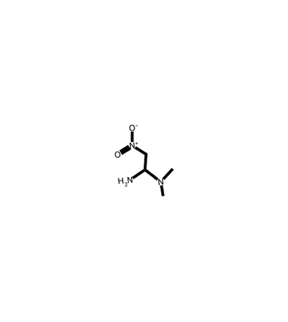 CN(C)C(N)C[N+](=O)[O-]